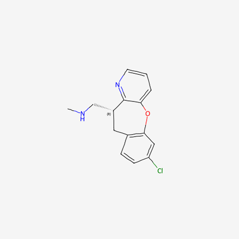 CNC[C@H]1Cc2ccc(Cl)cc2Oc2cccnc21